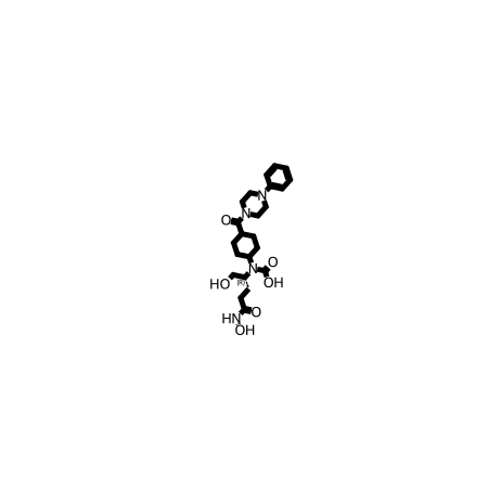 O=C(CC[C@H](CO)N(C(=O)O)C1CCC(C(=O)N2CCN(c3ccccc3)CC2)CC1)NO